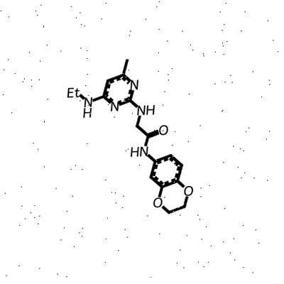 CCNc1cc(C)nc(NCC(=O)Nc2ccc3c(c2)OCCO3)n1